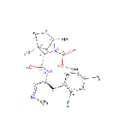 C/N=C\[C@H](Cc1ccc(Br)cc1F)NC(=O)[C@@H]1[C@H]2CC[C@H](C2)N1C(=O)OC(C)(C)C